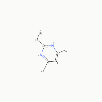 Cc1cc(C)nc(CC(C)C)n1